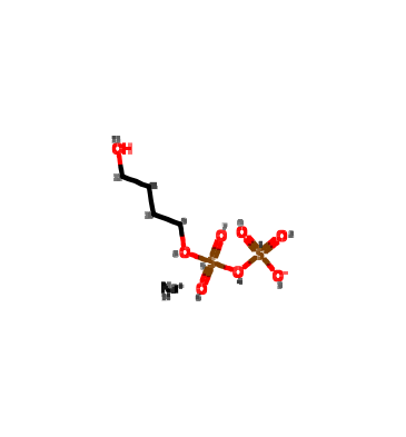 O=S(=O)([O-])OS(=O)(=O)OCCCCO.[Na+]